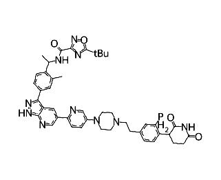 Cc1cc(-c2n[nH]c3ncc(-c4ccc(N5CCN(CCc6ccc(C7CCC(=O)NC7=O)c(P)c6)CC5)cn4)cc23)ccc1C(C)NC(=O)c1noc(C(C)(C)C)n1